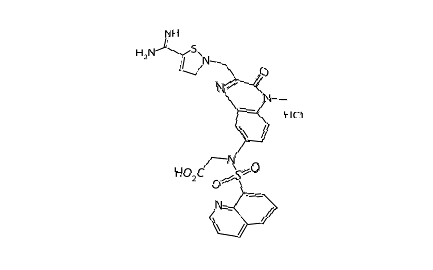 Cl.Cn1c(=O)c(CN2CC=C(C(=N)N)S2)nc2cc(N(CC(=O)O)S(=O)(=O)c3cccc4cccnc34)ccc21